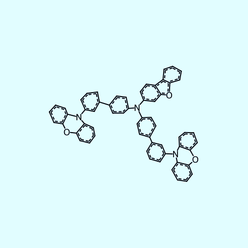 c1cc(-c2ccc(N(c3ccc(-c4cccc(N5c6ccccc6Oc6ccccc65)c4)cc3)c3ccc4c(c3)oc3ccccc34)cc2)cc(N2c3ccccc3Oc3ccccc32)c1